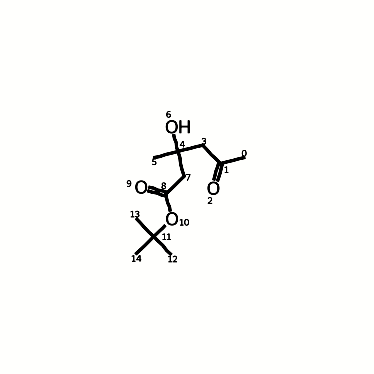 CC(=O)CC(C)(O)CC(=O)OC(C)(C)C